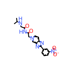 CC(C)NCC(=O)NC(=O)Cn1ccc2nc(-c3cccc([N+](=O)[O-])c3)nc-2c1